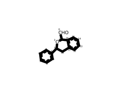 O=CC1OC(c2ccccc2)Cc2ccccc21